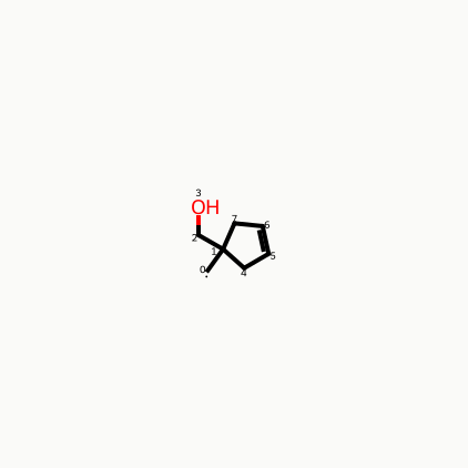 [CH2]C1(CO)CC=CC1